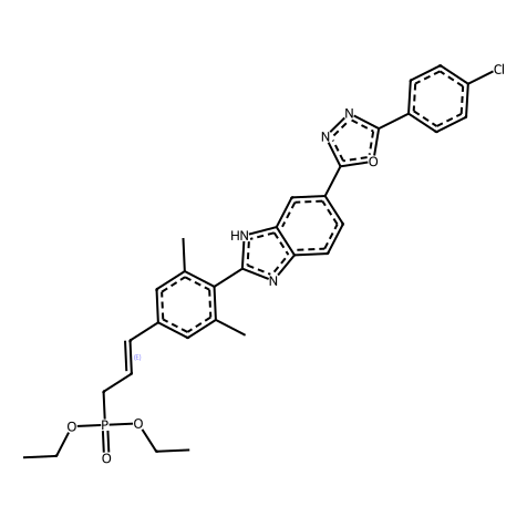 CCOP(=O)(C/C=C/c1cc(C)c(-c2nc3ccc(-c4nnc(-c5ccc(Cl)cc5)o4)cc3[nH]2)c(C)c1)OCC